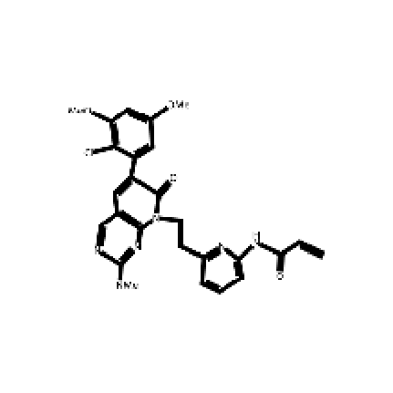 C=CC(=O)Nc1cccc(CCn2c(=O)c(-c3cc(OC)cc(OC)c3Cl)cc3cnc(NC)nc32)n1